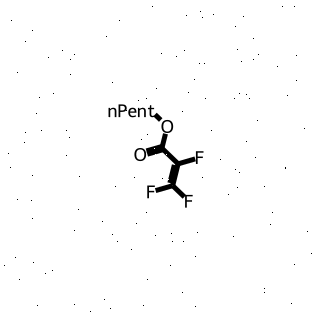 CCCCCOC(=O)C(F)=C(F)F